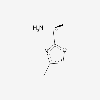 Cc1coc([C@H](C)N)n1